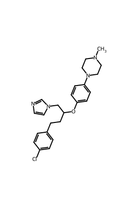 CN1CCN(c2ccc(OC(CCc3ccc(Cl)cc3)Cn3ccnc3)cc2)CC1